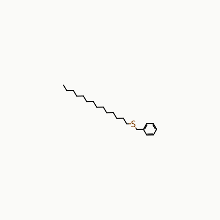 CCCCCCCCCCCCCCSCc1ccccc1